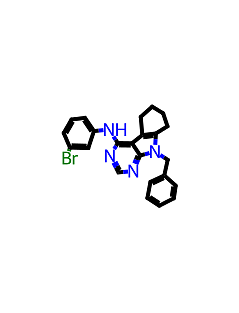 Brc1cccc(Nc2ncnc3c2c2c(n3Cc3ccccc3)CCCC2)c1